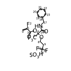 C=C(F)C(=O)OC(OCCC(F)(F)S(=O)(=O)O)(C(=O)NCc1ccccc1)C(F)(F)F